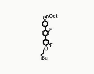 CCCCCCCCOc1ccc(-c2ccc(-c3ccc(OCCCC(C)CC)c(F)c3)cc2F)cc1